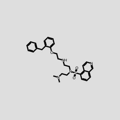 CN(C)CCN(CCNCCOc1ccccc1Cc1ccccc1)S(=O)(=O)c1cccc2cnccc12